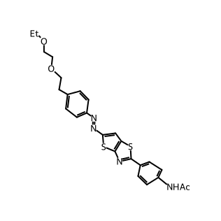 CCOCCOCCc1ccc(N=Nc2cc3sc(-c4ccc(NC(C)=O)cc4)nc3s2)cc1